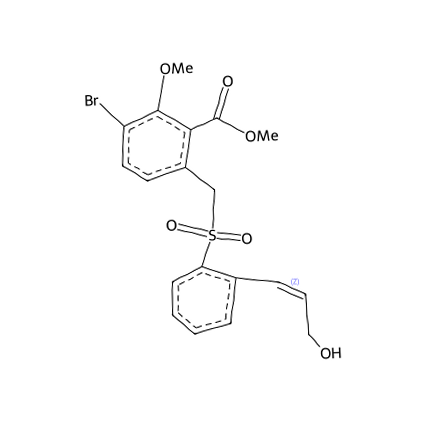 COC(=O)c1c(CS(=O)(=O)c2ccccc2/C=C\CO)ccc(Br)c1OC